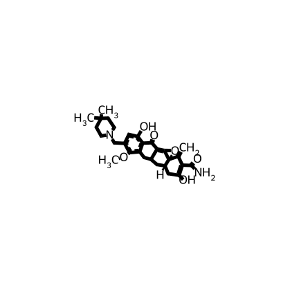 C=C1C(C(N)=O)=C(O)C[C@@H]2CC3Cc4c(OC)c(CN5CCC(C)(C)CC5)cc(O)c4C(=O)C3=C3O[C@]132